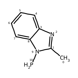 Cc1nc2ccccc2n1P